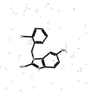 CCCc1nc2ccc(N)cc2n1Cc1ccccc1Cl